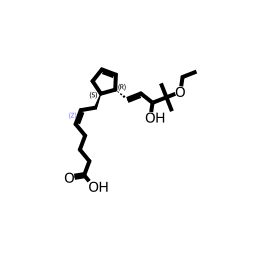 CCOC(C)(C)C(O)C=C[C@H]1C=CC[C@@H]1C/C=C\CCCC(=O)O